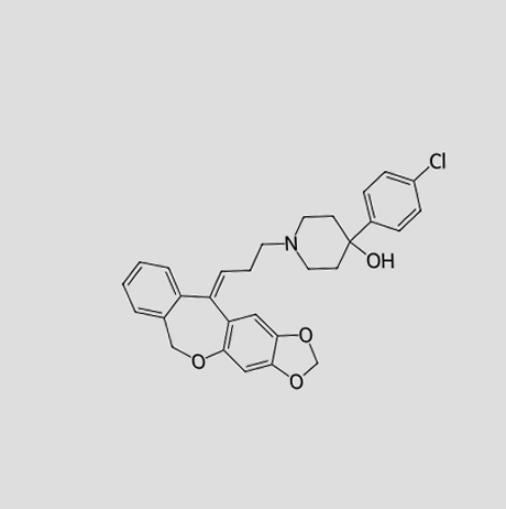 OC1(c2ccc(Cl)cc2)CCN(CCC=C2c3ccccc3COc3cc4c(cc32)OCO4)CC1